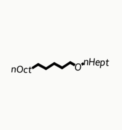 [CH2]CCCCCCOCCCCCCCCCCCCC